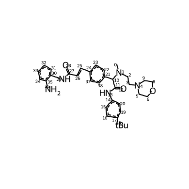 CN(CCN1CCOCC1)C(C(=O)Nc1ccc(C(C)(C)C)cc1)c1ccc(/C=C/C(=O)Nc2ccccc2N)cc1